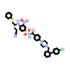 N#CCC[C@H](CSc1ccccc1)Nc1ccc(S(=O)(=O)NC(=O)c2ccc(N3CCN(Cc4ccccc4-c4ccc(Cl)cc4)CC3)cc2)cc1[N+](=O)[O-]